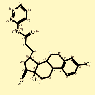 C[C@]12CCC3c4ccc(Cl)cc4CCC3C1[C@H](CCC(=O)Nc1cccnn1)CC2=O